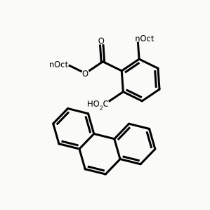 CCCCCCCCOC(=O)c1c(CCCCCCCC)cccc1C(=O)O.c1ccc2c(c1)ccc1ccccc12